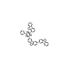 c1ccc(-c2nc(-c3ccc4oc5ccc(-c6ccc7oc8ccccc8c7c6)cc5c4c3)nc(-c3cccc4c3oc3ccccc34)n2)cc1